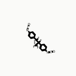 O=C=Nc1ccc(C(F)(F)C(F)(c2ccc(N=C=O)cc2)C(F)(F)F)cc1